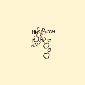 O=C(c1ccc(Oc2ccccc2)cc1Cl)c1c[nH]c2ncc3c(c12)N[C@@]1(CC[C@@H](CO)OC1)C(=O)N3